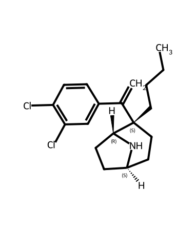 C=C(c1ccc(Cl)c(Cl)c1)[C@]1(CCCC)CC[C@H]2CC[C@H]1N2